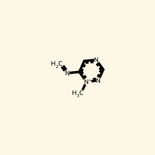 C=Nc1cncn[n+]1C